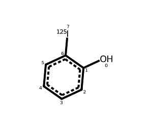 Oc1ccccc1[125I]